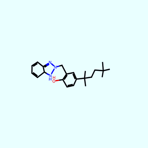 CC(C)(C)CCC(C)(C)c1ccc(O)c(CN2N=C3C=CC=CC3N2)c1